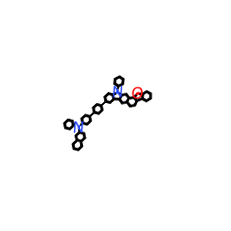 c1ccc(N(c2ccc(-c3ccc(-c4ccc5c(c4)c4cc6ccc7c8ccccc8oc7c6cc4n5-c4ccccc4)cc3)cc2)c2ccc3ccccc3c2)cc1